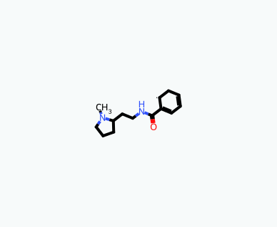 CN1CCCC1CCNC(=O)C1=CC=CC[CH]1